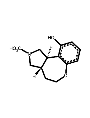 O=C(O)N1C[C@H]2CCOc3cccc(O)c3[C@@H]2C1